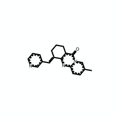 Cc1ccc2nc3c(c(=O)n2c1)CCCC3=Cc1cccnc1